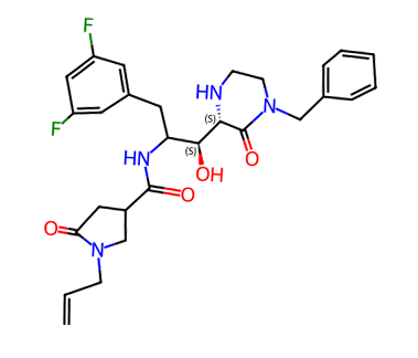 C=CCN1CC(C(=O)NC(Cc2cc(F)cc(F)c2)[C@H](O)[C@@H]2NCCN(Cc3ccccc3)C2=O)CC1=O